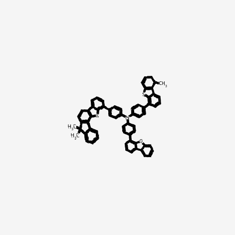 CC1CC=Cc2sc3c(-c4ccc(N(c5ccc(-c6cccc7c6oc6ccccc67)cc5)c5ccc(-c6cccc7c6sc6c8c(ccc67)C(C)(C)c6ccccc6-8)cc5)cc4)cccc3c21